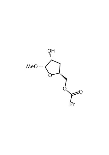 CO[C@H]1O[C@H](COC(=O)C(C)C)C[C@H]1O